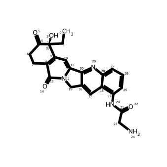 CC[C@@]1(O)C(=O)CCc2c1cc1n(c2=O)Cc2cc3c(NC(=O)CN)cccc3nc2-1